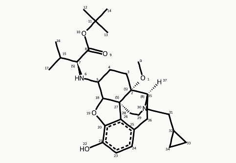 CO[C@@]12CCC(N[C@H](C(=O)OC(C)(C)C)C(C)C)C3Oc4c(O)ccc5c4[C@@]31CCN(CC1CC1)[C@@H]2C5